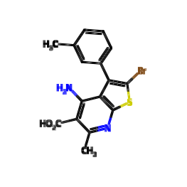 Cc1cccc(-c2c(Br)sc3nc(C)c(C(=O)O)c(N)c23)c1